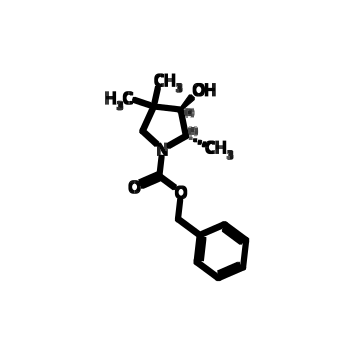 C[C@H]1[C@H](O)C(C)(C)CN1C(=O)OCc1ccccc1